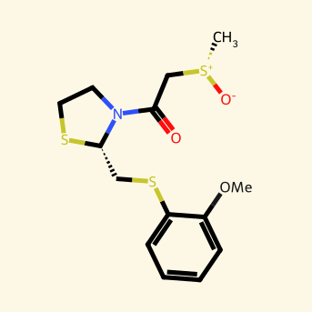 COc1ccccc1SC[C@@H]1SCCN1C(=O)C[S@+](C)[O-]